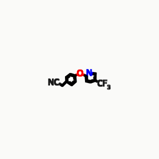 N#CCc1ccc(Oc2ccc(C(F)(F)F)cn2)cc1